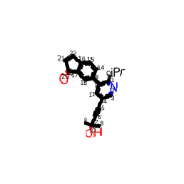 CC(C)c1ncc(C#CC(C)(C)O)cc1-c1ccc2c(c1)C(=O)CC2